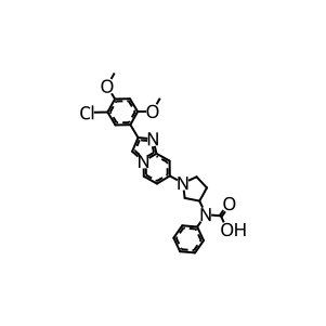 COc1cc(OC)c(-c2cn3ccc(N4CCC(N(C(=O)O)c5ccccc5)C4)cc3n2)cc1Cl